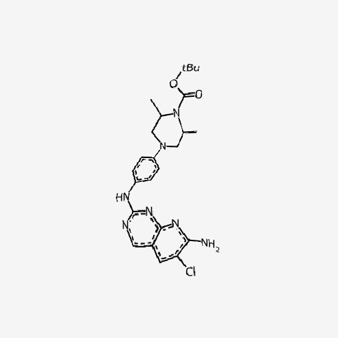 CC1CN(c2ccc(Nc3ncc4cc(Cl)c(N)nc4n3)cc2)CC(C)N1C(=O)OC(C)(C)C